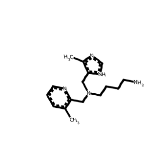 Cc1cccnc1CN(CCCCN)Cc1[nH]cnc1C